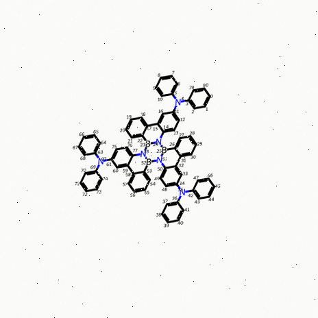 c1ccc(N(c2ccccc2)c2ccc3c(c2)-c2ccccc2B2N3B3c4ccccc4-c4cc(N(c5ccccc5)c5ccccc5)ccc4N3B3c4ccccc4-c4cc(N(c5ccccc5)c5ccccc5)ccc4N23)cc1